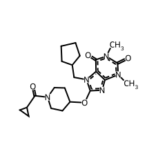 Cn1c(=O)c2c(nc(OC3CCN(C(=O)C4CC4)CC3)n2CC2CCCC2)n(C)c1=O